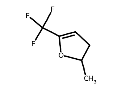 CC1CC=C(C(F)(F)F)O1